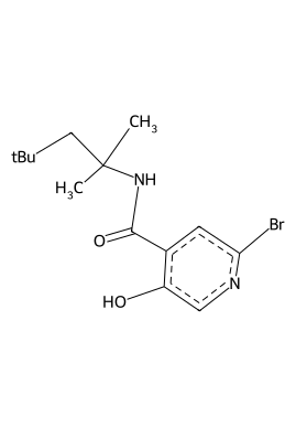 CC(C)(C)CC(C)(C)NC(=O)c1cc(Br)ncc1O